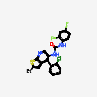 CCc1cc2c(-c3ccccc3Cl)c(NC(=O)Nc3ccc(F)cc3F)cnc2s1